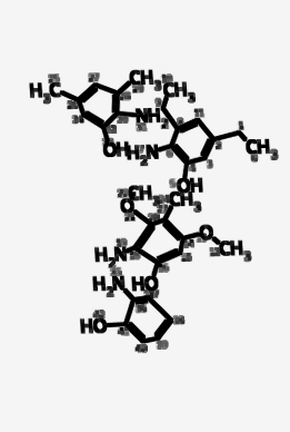 CCc1cc(O)c(N)c(CC)c1.COc1cc(O)c(N)c(OC)c1C.Cc1cc(C)c(N)c(O)c1.Nc1ccccc1O